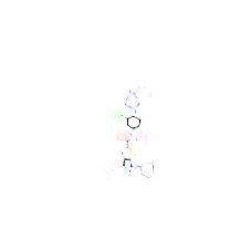 Cc1nn(C2CCCCC2)c2c1CC(C(=O)Nc1ccc(N3CCN(C)CC3)c(Cl)c1)S2